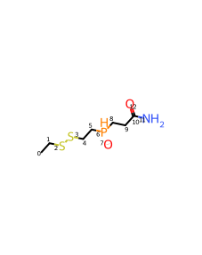 CCSSCC[PH](=O)CCC(N)=O